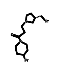 CC(C)C[C@H]1CCN(CCC(=O)N2CCC(C(C)C)CC2)C1